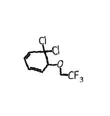 FC(F)(F)COC1C=CC=CC1(Cl)Cl